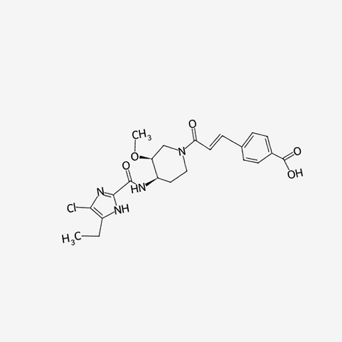 CCc1[nH]c(C(=O)N[C@@H]2CCN(C(=O)/C=C/c3ccc(C(=O)O)cc3)C[C@@H]2OC)nc1Cl